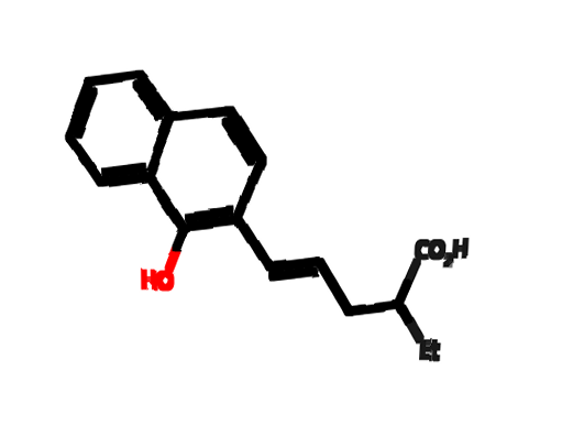 CCC(C/C=C/c1ccc2ccccc2c1O)C(=O)O